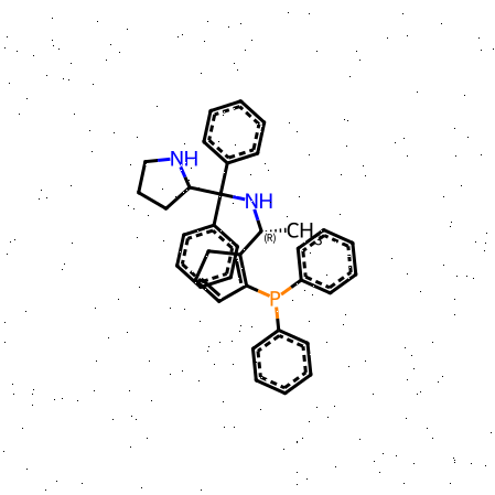 C[C@@H](NC(c1ccccc1)(c1ccccc1)C1CCCN1)C1=C(P(c2ccccc2)c2ccccc2)C=CC1